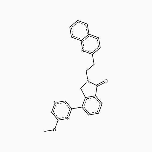 COc1cncc(-c2cccc3c2CN(CCc2ccc4ccccc4n2)C3=O)n1